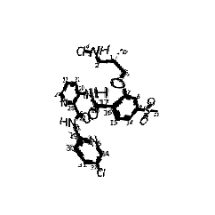 C[C@@H](CNCl)COc1cc(S(C)(=O)=O)ccc1C(=O)Nc1cccnc1C(=O)Nc1ccc(Cl)cn1